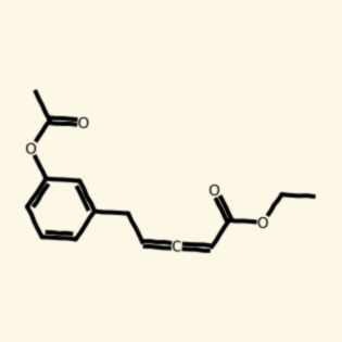 CCOC(=O)C=C=CCc1cccc(OC(C)=O)c1